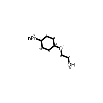 CCCC1CCC(OCCO)CC1